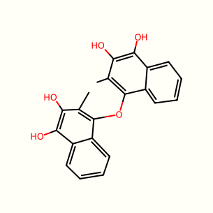 Cc1c(O)c(O)c2ccccc2c1Oc1c(C)c(O)c(O)c2ccccc12